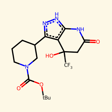 CC(C)(C)OC(=O)N1CCCC(c2n[nH]c3c2C(O)(C(F)(F)F)CC(=O)N3)C1